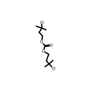 CC(C)(Cl)CCOC(=O)OCCC(C)(C)Cl